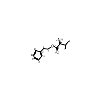 CC(C)C(=N)C(=O)OCCc1ccccc1